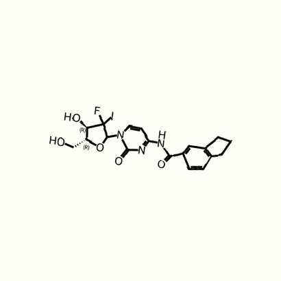 O=C(Nc1ccn(C2O[C@H](CO)[C@@H](O)C2(F)I)c(=O)n1)c1ccc2c(c1)CCC2